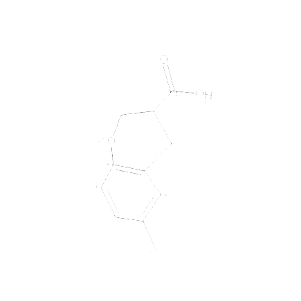 Cc1ccc2c(c1)CC(C(=O)O)CO2